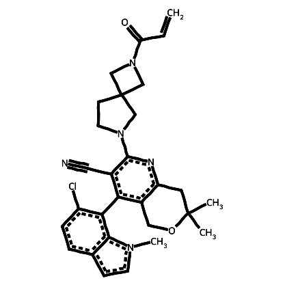 C=CC(=O)N1CC2(CCN(c3nc4c(c(-c5c(Cl)ccc6ccn(C)c56)c3C#N)COC(C)(C)C4)C2)C1